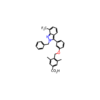 Cc1cc(C(=O)O)cc(C)c1COc1cccc(-c2c3cccc(C(F)(F)F)c3nn2Cc2ccccc2)c1